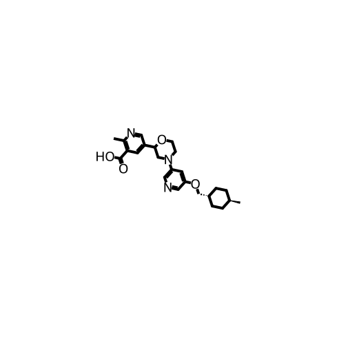 Cc1ncc(C2CN(c3cncc(OC[C@H]4CC[C@H](C)CC4)c3)CCO2)cc1C(=O)O